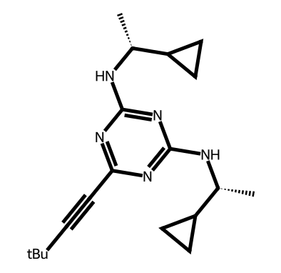 C[C@@H](Nc1nc(C#CC(C)(C)C)nc(N[C@H](C)C2CC2)n1)C1CC1